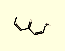 N/C=C\C(=S)/C=C\I